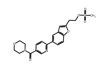 CS(=O)(=O)OCCc1cc2cc(-c3ccc(C(=O)N4CCOCC4)cn3)ccc2o1